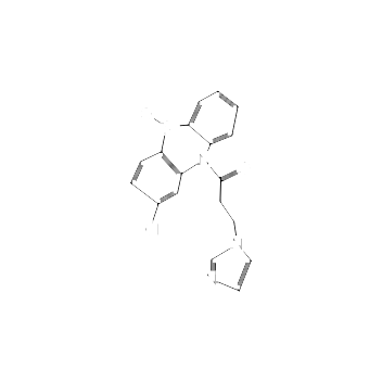 Cc1ccc2c(c1)N(C(=O)CCn1ccnc1)c1ccccc1[S+]2[O-]